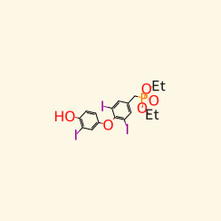 CCOP(=O)(Cc1cc(I)c(Oc2ccc(O)c(I)c2)c(I)c1)OCC